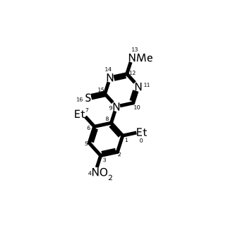 CCc1cc([N+](=O)[O-])cc(CC)c1-n1cnc(NC)nc1=S